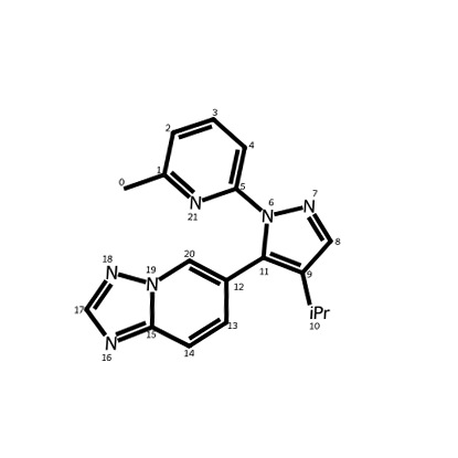 Cc1cccc(-n2ncc(C(C)C)c2-c2ccc3ncnn3c2)n1